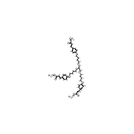 COC(=O)C=Cc1ccc(OCCCCOCC(COCCCCOc2ccc(C=CC(=O)OC)cc2)OCCCCOc2ccc(C=CC(=O)OC)cc2)cc1